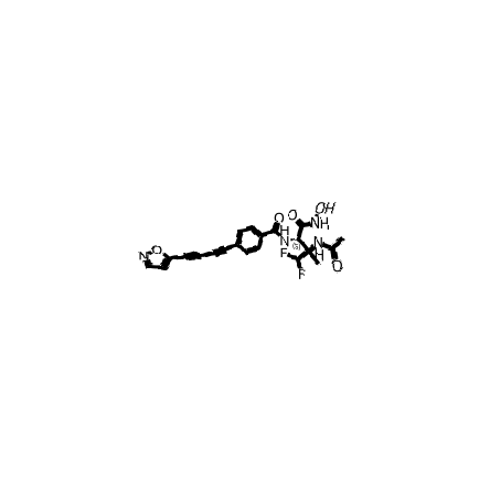 CC(=O)NC(C)(C(F)F)[C@H](NC(=O)c1ccc(C#CC#Cc2ccno2)cc1)C(=O)NO